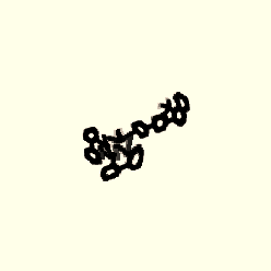 CC1(C)c2cc(-c3ccc(-c4nc(-c5ccccc5-c5ccccc5)nc(-c5ccccc5-c5ccccc5)n4)cc3)ccc2-c2ccc3ccccc3c21